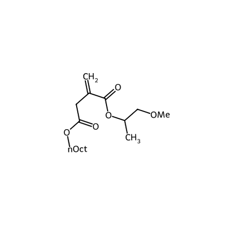 C=C(CC(=O)OCCCCCCCC)C(=O)OC(C)COC